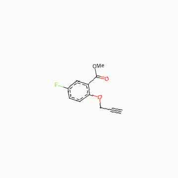 C#CCOc1ccc(F)cc1C(=O)OC